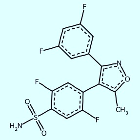 Cc1onc(-c2cc(F)cc(F)c2)c1-c1cc(F)c(S(N)(=O)=O)cc1F